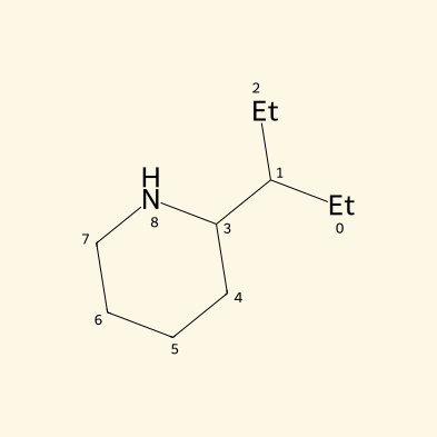 CCC(CC)C1CCCCN1